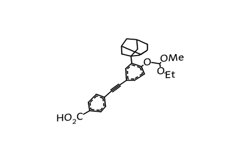 CCOC(OC)Oc1ccc(C#Cc2ccc(C(=O)O)cc2)cc1C12CC3CC(CC(C3)C1)C2